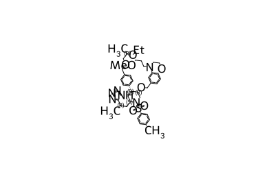 CCO[C@H](C)COCc1ccc([C@H]2C[C@H](C[C@@H](C)c3nnn[nH]3)N(S(=O)(=O)c3ccc(C)cc3)C[C@@H]2OCc2ccc3c(c2)N(CCCOC)CCO3)cc1